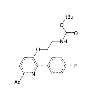 CC(=O)c1ccc(OCCNC(=O)OC(C)(C)C)c(-c2ccc(F)cc2)n1